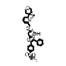 COC1(c2cccc(COC(Cc3nc(-c4ccccc4)c(-c4ccc(S(N)(=O)=O)cc4)o3)=NO)n2)CCOCC1